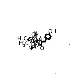 CC(C)(C)CC(C)(C)NC(=O)NC(Cc1ccc(O)cc1)C(=O)NCC#N